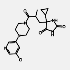 CC(CC1(C2CC2)NC(=O)NC1=O)C(=O)N1CCN(c2cncc(Cl)c2)CC1